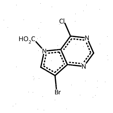 O=C(O)n1cc(Br)c2ncnc(Cl)c21